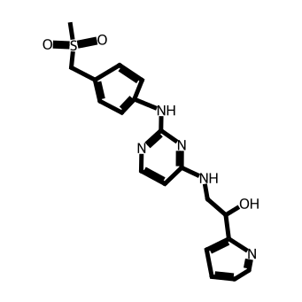 CS(=O)(=O)Cc1ccc(Nc2nccc(NCC(O)c3ccccn3)n2)cc1